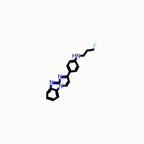 FCCCNc1ccc(-c2ccn3c(n2)nc2ccccc23)cc1